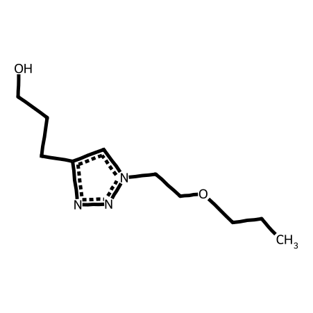 CCCOCCn1cc(CCCO)nn1